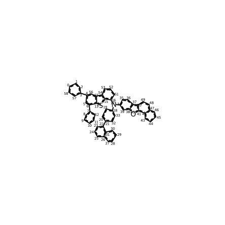 c1ccc(-c2cc(-c3ccccc3)c3sc4c(N(c5ccc(-c6cccc7ccccc67)cc5)c5ccc6c(c5)oc5c7ccccc7ccc65)cccc4c3c2)cc1